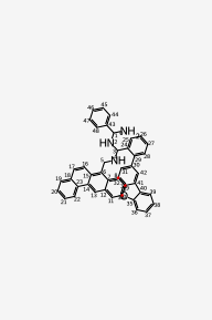 NC(NC(NCc1c2ccccc2cc2c1ccc1ccccc12)c1ccccc1-c1ccc2oc3ccccc3c2c1)c1ccccc1